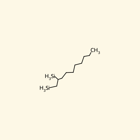 CCCCCCCCC([SiH3])C[SiH3]